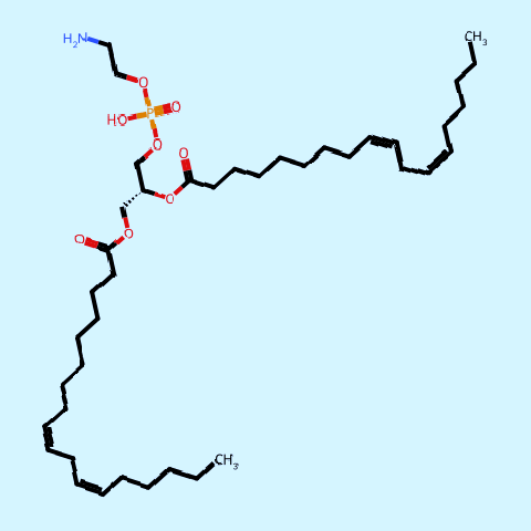 CCCCC/C=C\C/C=C\CCCCCCCC(=O)OC[C@H](COP(=O)(O)OCCN)OC(=O)CCCCCCC/C=C\C/C=C\CCCCC